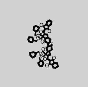 O=C1C(=CC2=Cc3cc4sc5cc6c(cc5c4cc3C2(C(=O)OCc2ccccc2)C(=O)OCc2ccccc2)C(C(=O)OCc2ccccc2)(C(=O)OCc2ccccc2)C(C=C2C(=O)c3ccccc3C2=O)=C6)C(=O)c2ccccc21